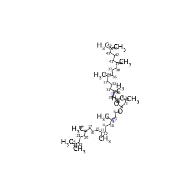 C=C(C)CC(OC/C=C(\C)CCCC(C)CCCC(C)CCCC(C)C)OC/C=C(\C)CCCC(C)CCCC(C)CCCC(C)C